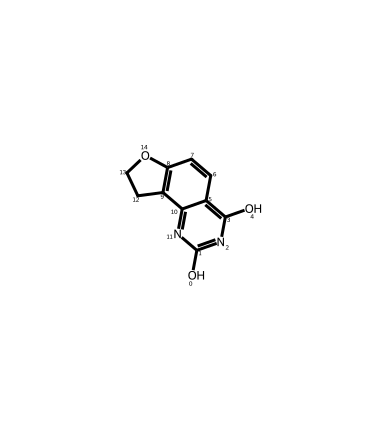 Oc1nc(O)c2ccc3c(c2n1)CCO3